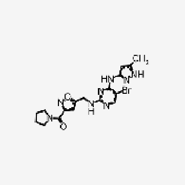 Cc1cc(Nc2nc(NCc3cc(C(=O)N4CCCC4)no3)ncc2Br)n[nH]1